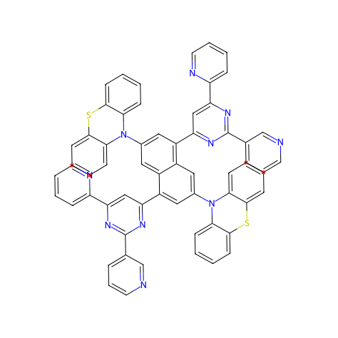 c1ccc(-c2cc(-c3cc(N4c5ccccc5Sc5ccccc54)cc4c(-c5cc(-c6ccccn6)nc(-c6cccnc6)n5)cc(N5c6ccccc6Sc6ccccc65)cc34)nc(-c3cccnc3)n2)nc1